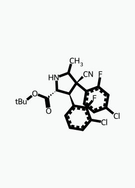 CC1N[C@@H](C(=O)OC(C)(C)C)[C@H](c2cccc(Cl)c2F)[C@@]1(C#N)c1ccc(Cl)cc1F